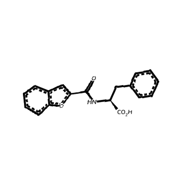 O=C(N[C@@H](Cc1ccccc1)C(=O)O)c1cc2ccccc2o1